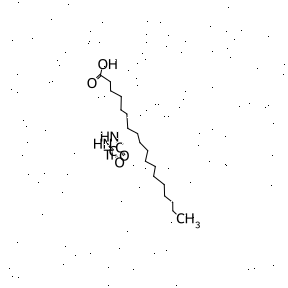 CCCCCCCCCCCCCCCCCC(=O)O.N=C=O.N=C=O.[Ti]